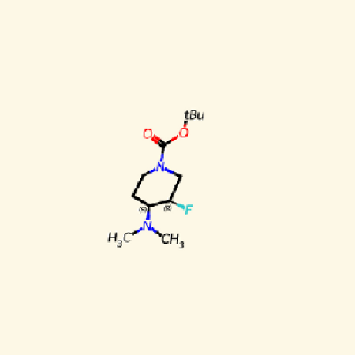 CN(C)[C@H]1CCN(C(=O)OC(C)(C)C)C[C@H]1F